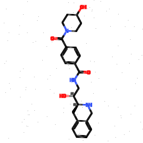 O=C(NC[C@@H](O)[C@@H]1Cc2ccccc2CN1)c1ccc(C(=O)N2CCC(O)CC2)cc1